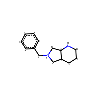 c1ccc(CN2CC3CCC[N]C3C2)cc1